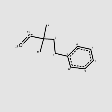 CC(C)(CCc1ccccc1)[S+]=O